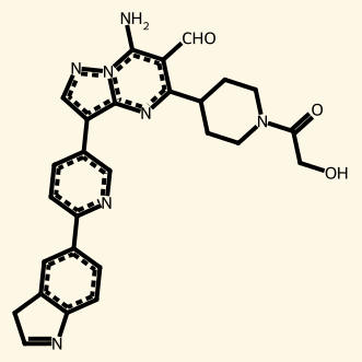 Nc1c(C=O)c(C2CCN(C(=O)CO)CC2)nc2c(-c3ccc(-c4ccc5c(c4)CC=N5)nc3)cnn12